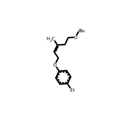 CCc1ccc(OCC=C(C)CCOC(C)CC)cc1